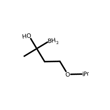 BC(C)(O)CCOC(C)C